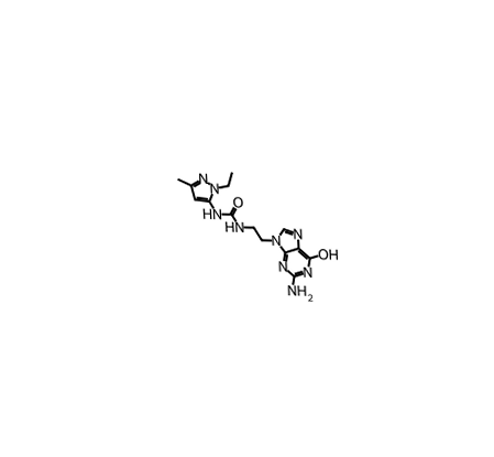 CCn1nc(C)cc1NC(=O)NCCn1cnc2c(O)nc(N)nc21